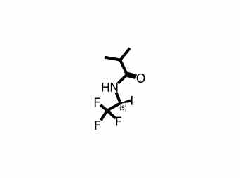 CC(C)C(=O)N[C@@H](I)C(F)(F)F